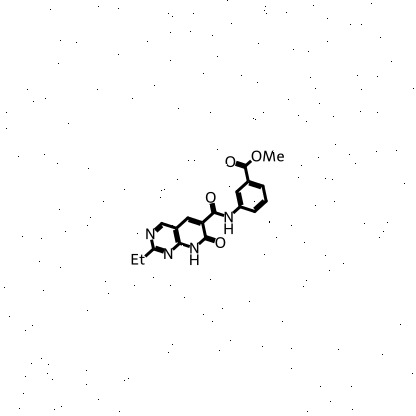 CCc1ncc2cc(C(=O)Nc3cccc(C(=O)OC)c3)c(=O)[nH]c2n1